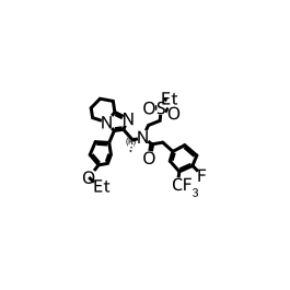 CCOc1ccc(-c2c([C@@H](C)N(CCS(=O)(=O)CC)C(=O)Cc3ccc(F)c(C(F)(F)F)c3)nc3n2CCCC3)cc1